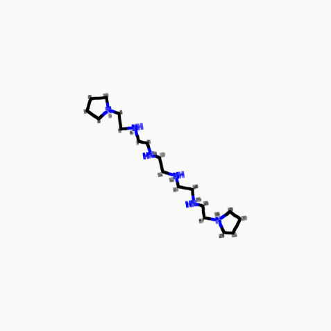 C1CCN(CCNCCNCCNCCNCCN2CCCC2)C1